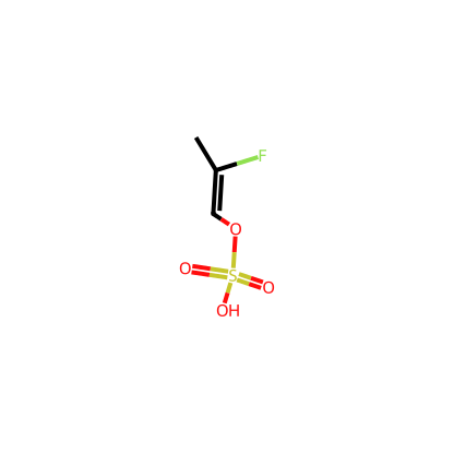 CC(F)=COS(=O)(=O)O